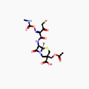 CNC(=O)ON=C(C(=O)CBr)C(=O)NC1C(=O)N2CC(COC(C)=O)(C(=O)O)CS[C@H]12